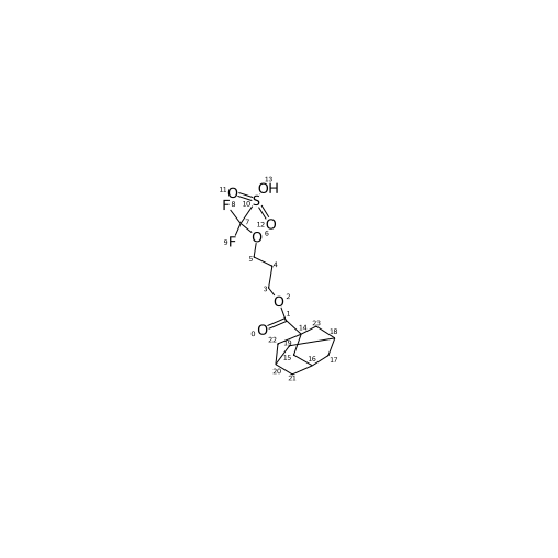 O=C(OCCCOC(F)(F)S(=O)(=O)O)C12CC3CC(CC(C3)C1)C2